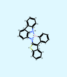 c1ccc2c(c1)B1N(c3sc4ccccc4c3-2)c2cccc3c4ccccc4n1c23